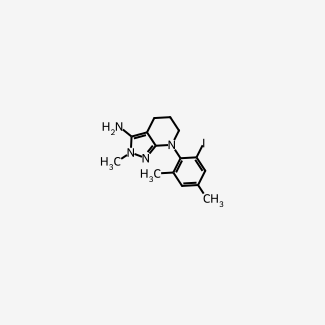 Cc1cc(C)c(N2CCCc3c2nn(C)c3N)c(I)c1